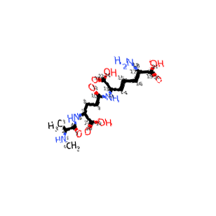 CNC(C)C(=O)NC(CCC(=O)NC(CCCC(N)C(=O)O)C(=O)O)C(=O)O